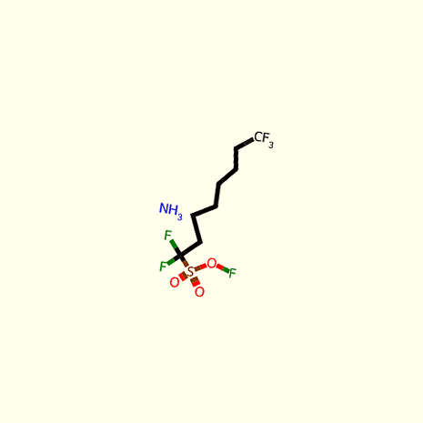 N.O=S(=O)(OF)C(F)(F)CCCCCCC(F)(F)F